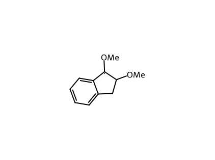 CO[C]1c2ccccc2CC1OC